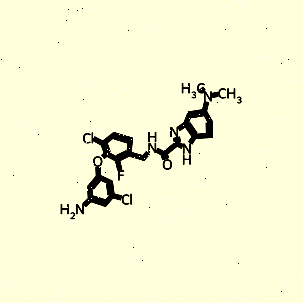 CN(C)c1ccc2[nH]c(C(=O)NCc3ccc(Cl)c(Oc4cc(N)cc(Cl)c4)c3F)nc2c1